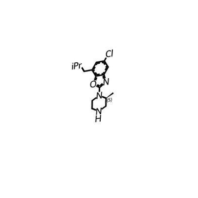 CC(C)Cc1cc(Cl)cc2nc(N3CCNC[C@@H]3C)oc12